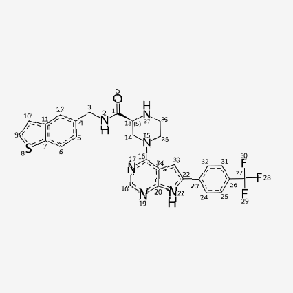 O=C(NCc1ccc2sccc2c1)[C@@H]1CN(c2ncnc3[nH]c(-c4ccc(C(F)(F)F)cc4)cc23)CCN1